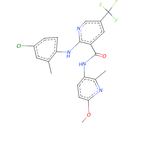 COc1ccc(NC(=O)c2cc(C(F)(F)F)cnc2Nc2ccc(Cl)cc2C)c(C)n1